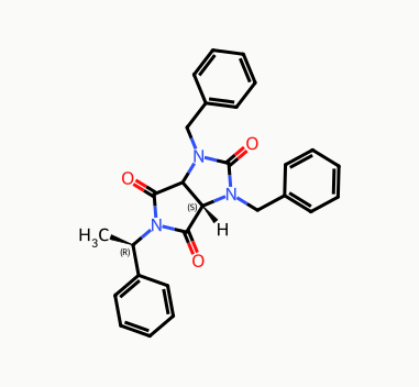 C[C@H](c1ccccc1)N1C(=O)C2[C@@H](C1=O)N(Cc1ccccc1)C(=O)N2Cc1ccccc1